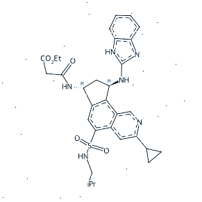 CCOC(=O)CC(=O)N[C@@H]1C[C@@H](Nc2nc3ccccc3[nH]2)c2c1cc(S(=O)(=O)NCC(C)C)c1cc(C3CC3)ncc21